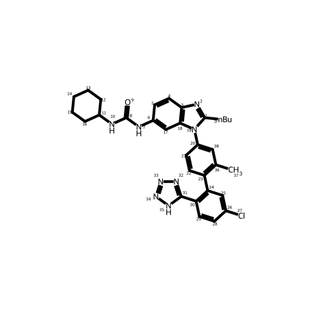 CCCCc1nc2ccc(NC(=O)NC3CCCCC3)cc2n1-c1ccc(-c2cc(Cl)ccc2-c2nnn[nH]2)c(C)c1